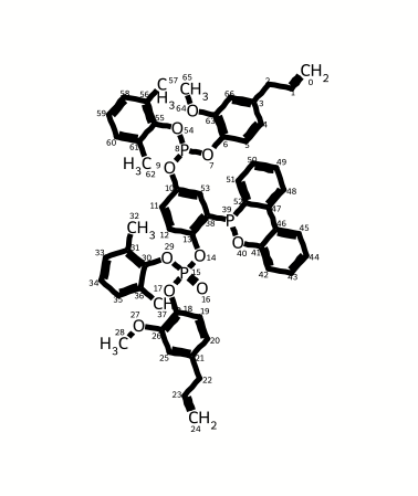 C=CCc1ccc(OP(Oc2ccc(OP(=O)(Oc3ccc(CC=C)cc3OC)Oc3c(C)cccc3C)c(P3Oc4ccccc4-c4ccccc43)c2)Oc2c(C)cccc2C)c(OC)c1